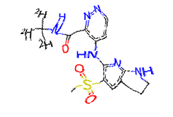 [2H]C([2H])([2H])NC(=O)c1nnccc1Nc1nc2c(cc1S(C)(=O)=O)CCN2